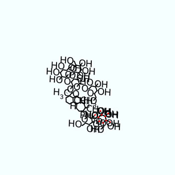 C=C1C[C@@]2(C)CCC3[C@](C)(C(=O)OC4OC(COC5OC(CO)C(O)C(O)C5O)C(O)C(OC5OC(CO)C(O)C(O)C5O)C4OC4OC(CO)C(O)C(O)C4O)CCC[C@@]3(C)[C@@H]2CCC1(P)CC1OC(CO)C(O)C(OC2OC(CO)C(O)C(O)C2O)C1OC1OC(CO)C(O)C(O)C1O